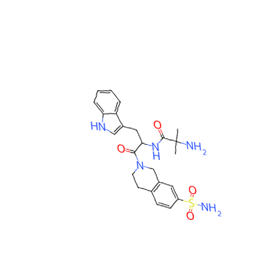 CC(C)(N)C(=O)NC(Cc1c[nH]c2ccccc12)C(=O)N1CCc2ccc(S(N)(=O)=O)cc2C1